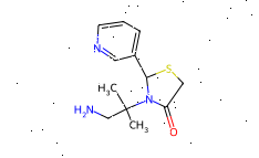 CC(C)(CN)N1C(=O)CSC1c1cccnc1